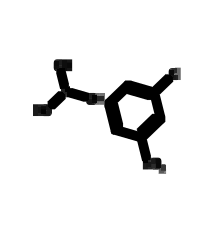 O=[N+]([O-])c1cccc(Cl)c1.OB(O)O